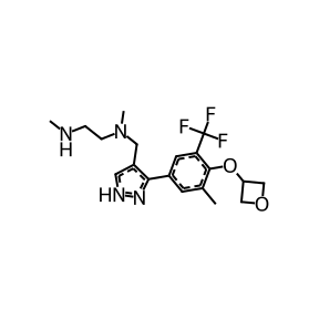 CNCCN(C)Cc1c[nH]nc1-c1cc(C)c(OC2COC2)c(C(F)(F)F)c1